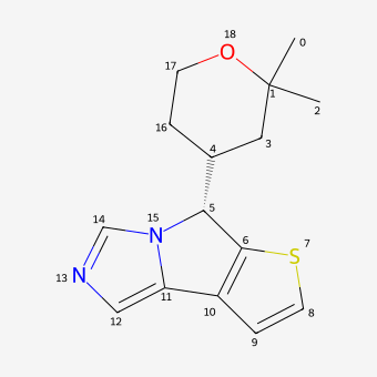 CC1(C)CC([C@@H]2c3sccc3-c3cncn32)CCO1